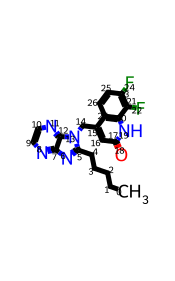 CCCCCc1nc2nccnc2n1Cc1cc(=O)[nH]c2c(F)c(F)ccc12